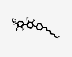 CCOc1ccc(-c2ccc(C3CCC(CCC=CCCF)CC3)c(F)c2F)c(F)c1F